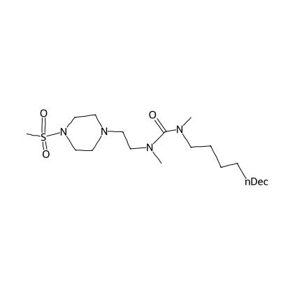 CCCCCCCCCCCCCCN(C)C(=O)N(C)CCN1CCN(S(C)(=O)=O)CC1